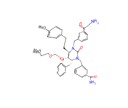 COCCOCO[C@@H]1[C@@H](CCc2ccc(OC)cc2)N(Cc2cccc(C(N)=O)c2)C(=O)N(Cc2cccc(C(N)=O)c2)[C@@H]1Cc1ccccc1